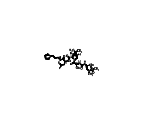 CN(C[C@@H](NC(=O)N[C@H](C(=O)N1C[C@H]2[C@@H]([C@H]1C(=O)N[C@@H](CC(F)F)C(=O)NCCCn1cccc1)C2(C)C)C(C)(C)C)C(C)(C)C)S(C)(=O)=O